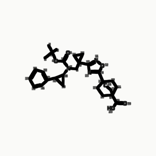 CC(C)(C)OC(=O)N(CC1(c2noc(C34CCC(C(=O)O)(CC3)CC4)n2)CC1)[C@H]1CC1c1ccccc1